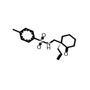 C=CC[C@]1(CNS(=O)(=O)c2ccc(C)cc2)CCCCC1=O